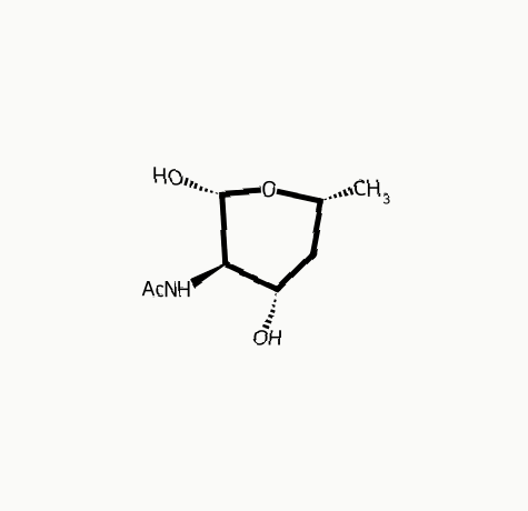 CC(=O)N[C@H]1[C@H](O)O[C@H](C)C[C@@H]1O